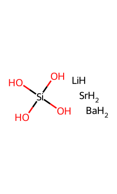 O[Si](O)(O)O.[BaH2].[LiH].[SrH2]